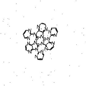 c1cnc(N2B3N(B4N(B5N3c3nccnc3N5c3ncccn3)c3nccnc3N4c3ncccn3)c3nccnc32)nc1